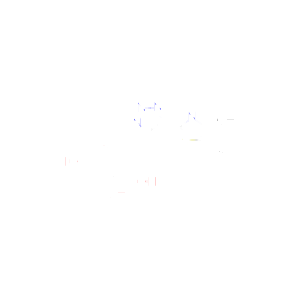 Cc1nc(-c2cn(CC3OC(CO)C(O)C(O)C3O)nn2)sc1C(C)C